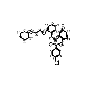 O=S(=O)(c1ccc(Cl)cc1)N(Cc1ccccc1OCCSC1CCCCC1)c1cc(F)ccc1F